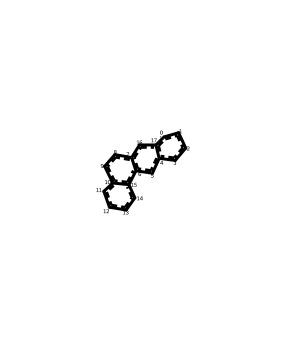 [c]1cccc2cc3c(ccc4ccccc43)cc12